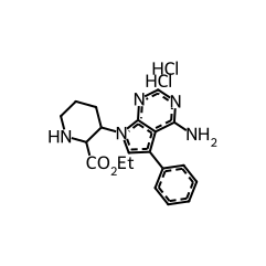 CCOC(=O)C1NCCCC1n1cc(-c2ccccc2)c2c(N)ncnc21.Cl.Cl